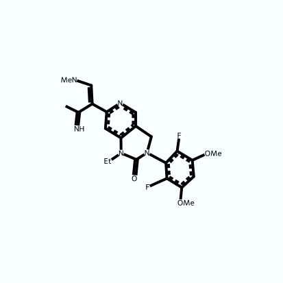 CCN1C(=O)N(c2c(F)c(OC)cc(OC)c2F)Cc2cnc(/C(=C/NC)C(C)=N)cc21